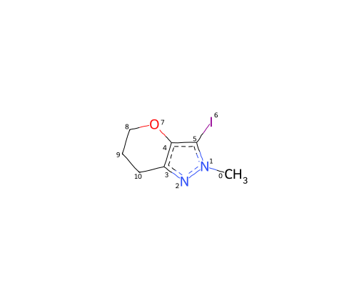 Cn1nc2c(c1I)OCCC2